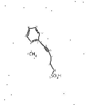 C.O=S(=O)(O)CCCC#Cc1ccccc1